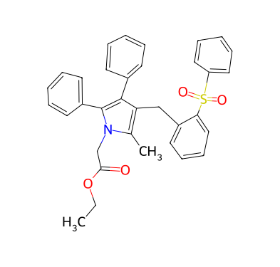 CCOC(=O)Cn1c(C)c(Cc2ccccc2S(=O)(=O)c2ccccc2)c(-c2ccccc2)c1-c1ccccc1